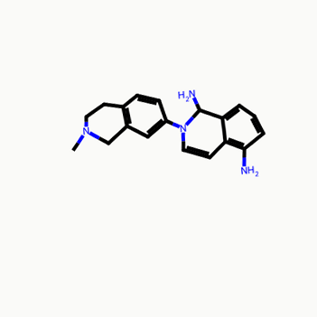 CN1CCc2ccc(N3C=Cc4c(N)cccc4C3N)cc2C1